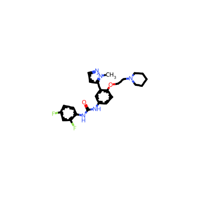 Cn1nccc1-c1cc(NC(=O)Nc2ccc(F)cc2F)ccc1OCCN1CCCCC1